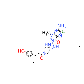 CNc1nc(N)c(Cl)nc1C(=O)/N=C1\NCC2(CCN(C(=O)CCc3ccc(O)cc3)CC2)N1